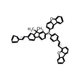 CC1(C)c2cc(/C=C/c3ccccc3)ccc2-c2ccc(N(c3ccc(/C=C/c4cccc5c4oc4ccccc45)cc3)c3ccc4oc5ccccc5c4c3)cc21